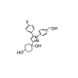 OCc1ccc(-n2nc(C3(O)CCC(O)CC3)cc2-c2ccc(F)cc2)cc1